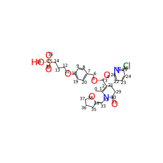 CC1=C(C(=O)OCc2ccc(OCCCS(=O)(=O)O)cc2)[C@H](c2ccc(Cl)nc2)CC(=O)N1C[C@H]1CCCO1